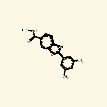 CNC(=O)c1ccc2nc(-c3cc(C)cc(C)c3)oc2c1